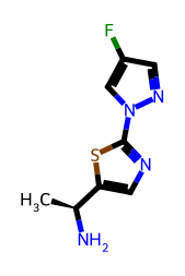 C[C@H](N)c1cnc(-n2cc(F)cn2)s1